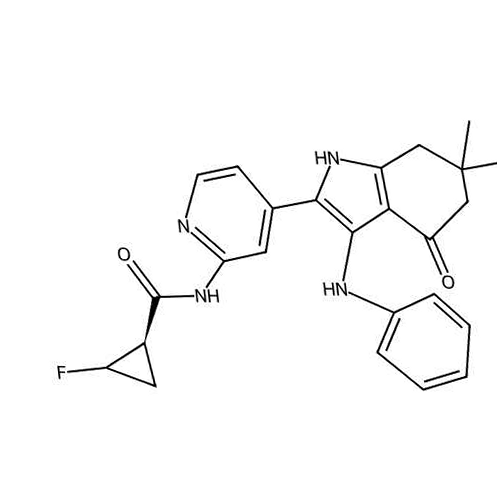 CC1(C)CC(=O)c2c([nH]c(-c3ccnc(NC(=O)[C@H]4CC4F)c3)c2Nc2ccccc2)C1